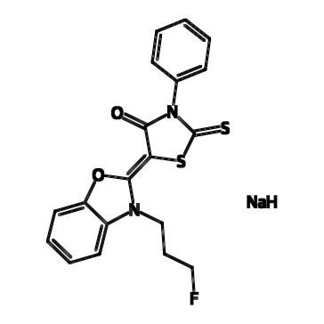 O=C1C(=C2Oc3ccccc3N2CCCF)SC(=S)N1c1ccccc1.[NaH]